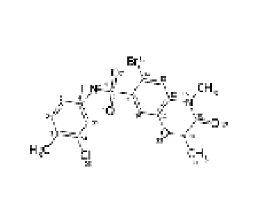 Cc1ccc(NS(=O)(=O)c2cc3c(cc2Br)N(C)C(=O)C(C)O3)cc1Cl